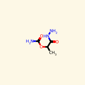 CC(OC(N)=O)C(=O)NN